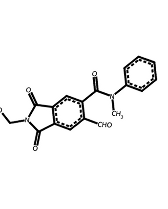 CN(C(=O)c1cc2c(cc1C=O)C(=O)N(CO)C2=O)c1ccccc1